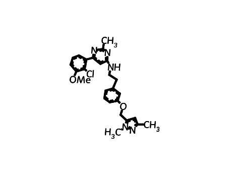 COc1cccc(-c2cc(NCCc3cccc(OCc4cc(C)nn4C)c3)nc(C)n2)c1Cl